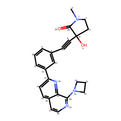 CN1CCC(O)(C#Cc2cccc(-c3ccc4ccnc(N5CCC5)c4n3)c2)C1=O